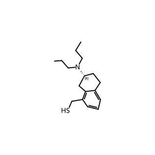 CCCN(CCC)[C@@H]1CCc2cccc(CS)c2C1